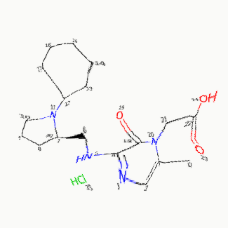 Cc1cnc(NC[C@H]2CCCN2C2CCCCC2)c(=O)n1CC(=O)O.Cl